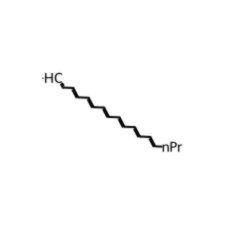 [CH]=CC=CC=CC=CC=CC=CC=CCCC